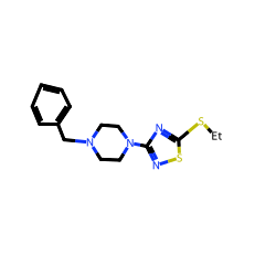 CCSc1nc(N2CCN(Cc3ccccc3)CC2)ns1